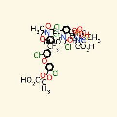 CC1COc2ccccc2N1C(=O)C(Cl)Cl.CCc1cccc(CC)c1N(COC)C(=O)CCl.C[C@H](OC(=O)c1cc(Oc2ccc(C(F)(F)F)cc2Cl)ccc1Cl)C(=O)O.C[S+](C)C.O=C(O)CNCP(=O)([O-])O